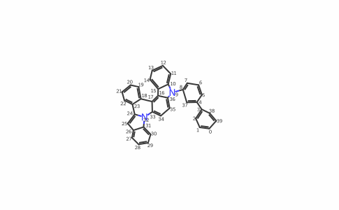 c1ccc(-c2cccc(-n3c4ccccc4c4c5c6ccccc6c6cc7ccccc7n6c5ccc43)c2)cc1